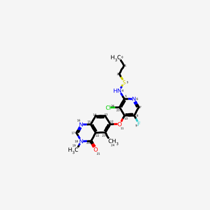 CCCSNc1ncc(F)c(Oc2ccc3ncn(C)c(=O)c3c2C)c1Cl